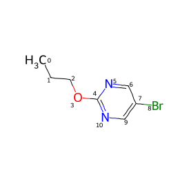 CCCOc1ncc(Br)cn1